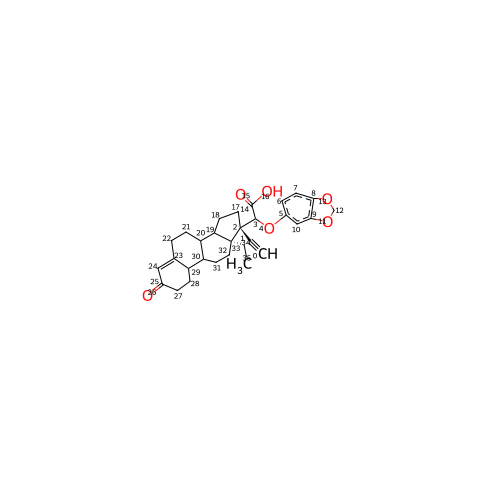 C#C[C@]1(C(Oc2ccc3c(c2)OCO3)C(=O)O)CCC2C3CCC4=CC(=O)CCC4C3CC[C@@]21CC